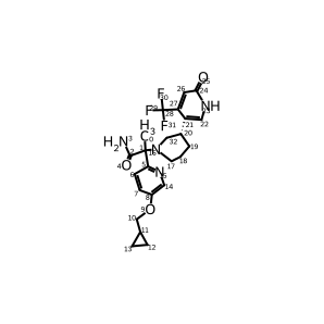 CC(C(N)=O)(c1ccc(OCC2CC2)cn1)N1CCC[C@@H](c2c[nH]c(=O)cc2C(F)(F)F)C1